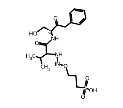 CC(C)C(NNOCCCS(=O)(=O)O)C(=O)N[C@@H](CO)C(=O)Cc1ccccc1